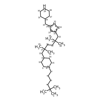 CC(C)(C)CCCCN1CCC(CC(C)(C)CCC(C)(C)Cc2cn(CC3CCNCC3)nn2)CC1